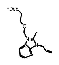 C=CCn1c(C)[n+](COCCCCCCCCCCCC)c2ccccc21